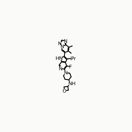 Cc1c(-c2[nH]c3cnc(N4CCC(NC5COC5)CC4)c(F)c3c2C(C)C)cn2ncnc2c1C